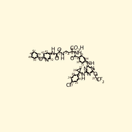 O=C(NCC[C@H](NC(=O)c1ccc(Nc2nc(NC3(c4ccc(Cl)cc4)CC3)nc(OCC(F)(F)F)n2)cc1)C(=O)O)C(=O)Nc1ccc(Oc2ccccc2)nc1